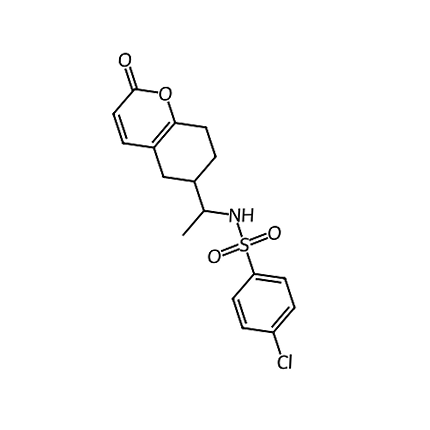 CC(NS(=O)(=O)c1ccc(Cl)cc1)C1CCc2oc(=O)ccc2C1